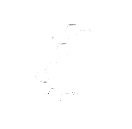 CCC[C@H](CC(=O)OC)c1cccc(OCc2ccc(-c3cc(OC)ccc3F)c(O)c2)c1